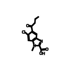 CCCC(=O)c1cc2nc(C(=O)O)n(C)c2cc1Cl